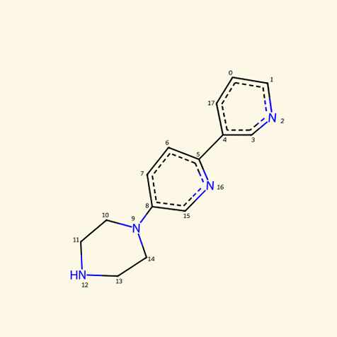 c1cncc(-c2ccc(N3CCNCC3)cn2)c1